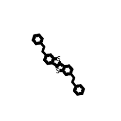 c1ccc(CCc2ccc3c(c2)sc2c4ccc(CCc5ccccc5)cc4sc32)cc1